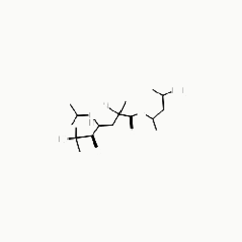 BC(C)CC(C)OC(=O)C(C)(N)CC(NC(C)C)C(=O)C(C)(C)O